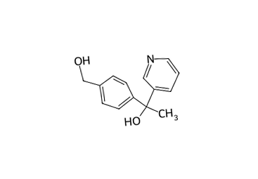 CC(O)(c1ccc(CO)cc1)c1cccnc1